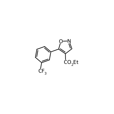 CCOC(=O)c1cnoc1-c1cccc(C(F)(F)F)c1